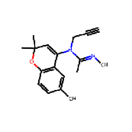 C#CCN(C1=CC(C)(C)Oc2ccc(C#N)cc21)/C(C)=N/C#N